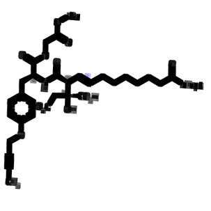 CC#CCOc1ccc(C[C@H](NC(=O)[C@@H](/C=C/CCCCCCC(=O)CCCCCCC)[C@@](O)(CC(=O)O)C(=O)O)C(=O)OCC(=O)OC(C)(C)C)cc1